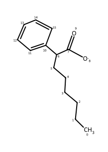 CCCCCCC(C([O])=O)c1ccccc1